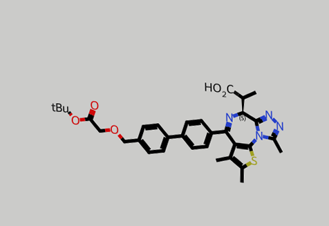 Cc1sc2c(c1C)C(c1ccc(-c3ccc(COCC(=O)OC(C)(C)C)cc3)cc1)=N[C@@H](C(C)C(=O)O)c1nnc(C)n1-2